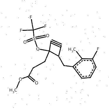 COC(=O)CCC1(OS(=O)(=O)C(F)(F)F)C#CC1Cc1cccc(F)c1C